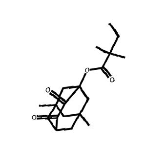 CCC(C)(C)C(=O)OC12CC3(C)CC(CC(C)(C3)C1)C(=O)C2=O